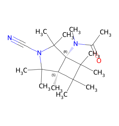 CC(=O)N(C)[C@@]12C(C)(C)N(C#N)C(C)(C)[C@]1(C)C(C)(C)C2(C)C